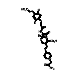 NC(=O)C[n+]1ccc(SCC2=C(C(=O)O)N3C(=O)[C@H](NC(=O)CSc4cc(Cl)c(SCC(=O)O)cc4Cl)[C@H]3SC2)cc1